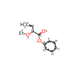 C=CC(OCC)C(=O)Oc1ccccc1